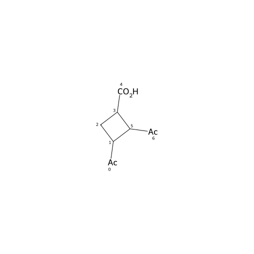 CC(=O)C1CC(C(=O)O)C1C(C)=O